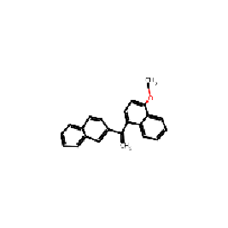 C=C(c1ccc2ccccc2c1)c1ccc(OC)c2ccccc12